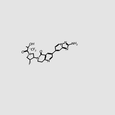 C[C@@](O)(C(=O)N1CC(F)C(N2CCc3ncc(-c4ccn5nc(N)nc5c4)cc3C2=O)C1)C(F)(F)F